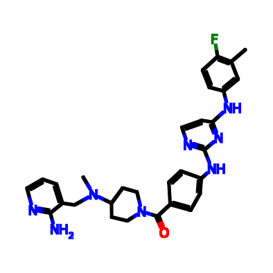 Cc1cc(Nc2ccnc(Nc3ccc(C(=O)N4CCC(N(C)Cc5cccnc5N)CC4)cc3)n2)ccc1F